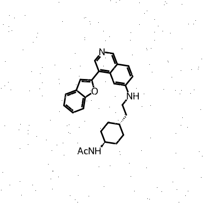 CC(=O)N[C@H]1CC[C@H](CCNc2ccc3cncc(-c4cc5ccccc5o4)c3c2)CC1